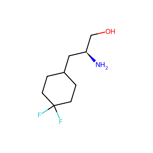 N[C@H](CO)CC1CCC(F)(F)CC1